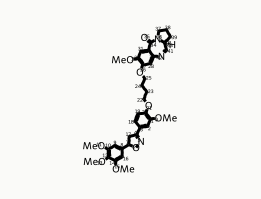 COc1cc(C2=NOC(c3cc(OC)c(OC)c(OC)c3)C2)ccc1OCCCCOc1cc2c(cc1OC)C(=O)N1CCC[C@H]1C=N2